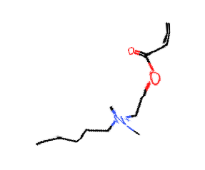 C=CC(=O)OCC[N+](C)(C)CCCCC